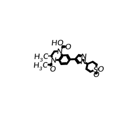 CC(=O)N1c2ccc(-c3cnn(C4CCS(=O)(=O)CC4)c3)cc2N(C(=O)O)C[C@@H]1C